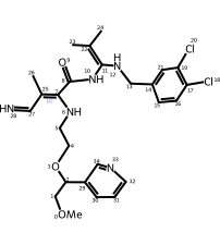 COCC(OCCN/C(C(=O)NC(NCc1ccc(Cl)c(Cl)c1)=C(C)C)=C(/C)C=N)c1cccnc1